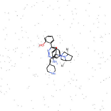 Nc1nnc(-c2ccccc2O)cc1N1C[C@H]2CC[C@@H](C1)N2c1cccc(C=C2CCNCC2)c1